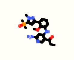 CCC(=O)c1cnc(N)cc1Nc1cccc(-c2cc(P(C)(C)=O)n(C)n2)c1OC